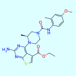 CCOC(=O)c1csc2nc(N)nc(N3CCN(C(=O)Nc4ccc(OC)cc4C)C[C@@H]3C)c12